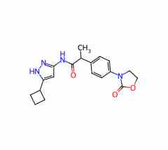 CC(C(=O)Nc1cc(C2CCC2)[nH]n1)c1ccc(N2CCOC2=O)cc1